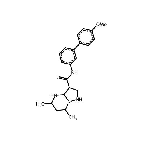 COc1ccc(-c2cccc(NC(=O)C3CNN4C(C)CC(C)NC34)c2)cc1